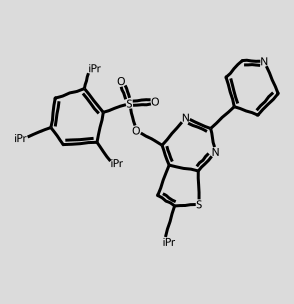 CC(C)c1cc(C(C)C)c(S(=O)(=O)Oc2nc(-c3ccncc3)nc3sc(C(C)C)cc23)c(C(C)C)c1